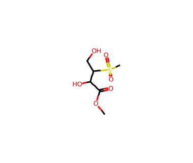 COC(=O)C(O)C(CO)S(C)(=O)=O